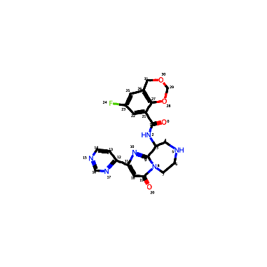 O=C(NC1CNCCn2c1nc(-c1ccncn1)cc2=O)c1cc(F)cc2c1OCOC2